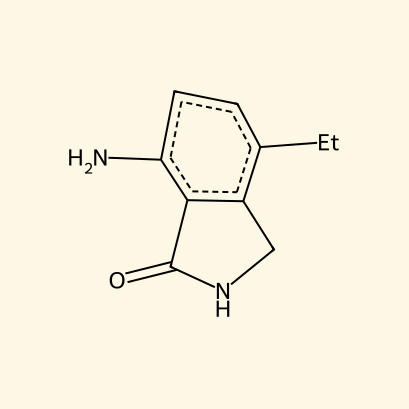 CCc1ccc(N)c2c1CNC2=O